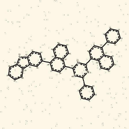 c1ccc(-c2nc(-c3ccc(-c4ccccc4)c4ccccc34)nc(-c3ccc(-c4ccc5sc6ccccc6c5c4)c4ccccc34)n2)cc1